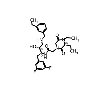 CCc1cccc(CNC[C@@H](O)[C@H](Cc2cc(F)cc(F)c2)NC(=O)CN2CC(=O)N(CC)[C@@H](CC)C2=O)c1